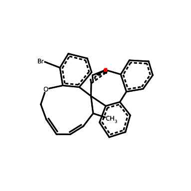 CC1/C=C\C=C/COc2c(Br)cccc2C12c1ccccc1-c1ccccc1-c1ccccc12